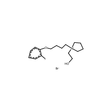 OCC[N+]1(CCCCOc2ccccc2I)CCCC1.[Br-]